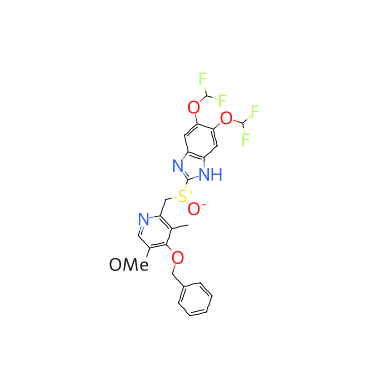 COc1cnc(C[S+]([O-])c2nc3cc(OC(F)F)c(OC(F)F)cc3[nH]2)c(C)c1OCc1ccccc1